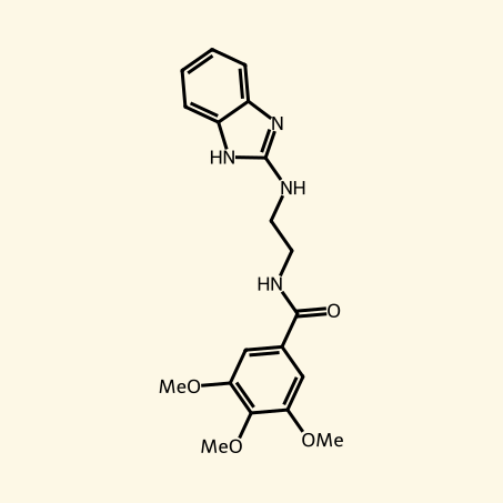 COc1cc(C(=O)NCCNc2nc3ccccc3[nH]2)cc(OC)c1OC